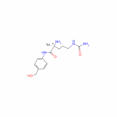 [2H][C@](N)(CCCNC(N)=O)C(=O)Nc1ccc(CO)cc1